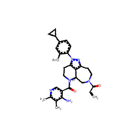 C=CC(=O)N1CCc2nn(-c3ccc(C4CC4)cc3OC(C)=O)c3c2[C@H](C1)N(C(=O)c1cnc(C(F)(F)F)c(C)c1N)CC3